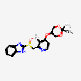 Cc1c(OC2COC(C)(C)OC2)ccnc1C[S+]([O-])c1nc2ccccc2[nH]1